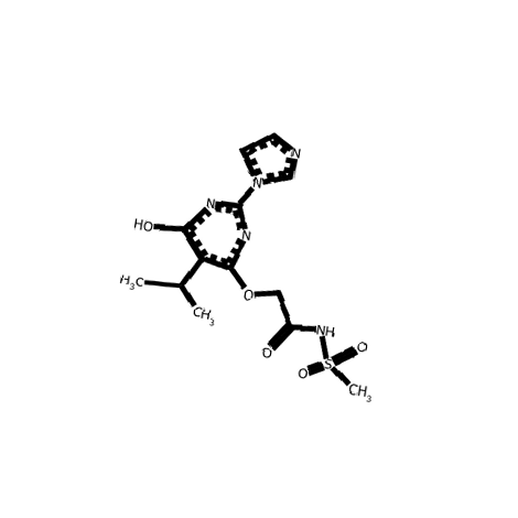 CC(C)c1c(O)nc(-n2ccnc2)nc1OCC(=O)NS(C)(=O)=O